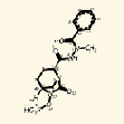 CN(NC(=O)[C@@H]1CC[C@@H]2CN1C(=O)N2OS(=O)(=O)O)C(=O)c1ccccc1